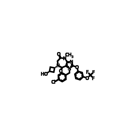 CN1C(=O)CN([C@H]2C[C@H](O)C2)C(=O)c2c1nc(Oc1cccc(OC(F)(F)F)c1)n2Cc1ccc(Cl)cc1